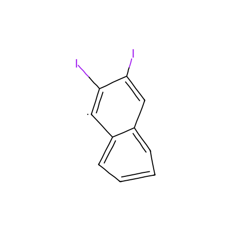 Ic1[c]c2ccccc2cc1I